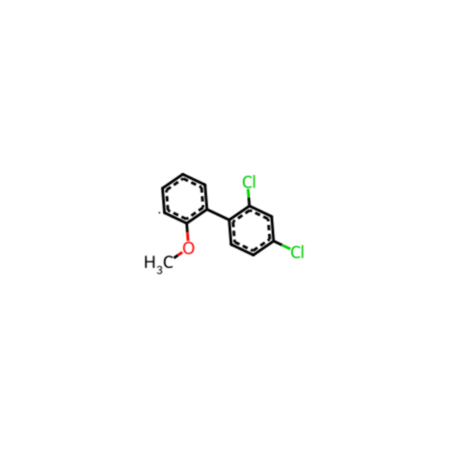 COc1[c]cccc1-c1ccc(Cl)cc1Cl